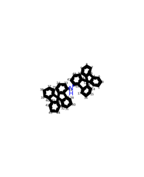 c1ccc2c(c1)-c1ccccc1C21c2ccccc2-c2c(Nc3cccc4c3-c3ccccc3C43c4ccccc4-c4ccccc43)cccc21